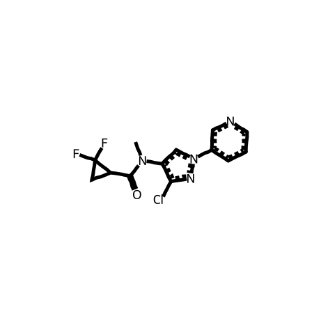 CN(C(=O)C1CC1(F)F)c1cn(-c2cccnc2)nc1Cl